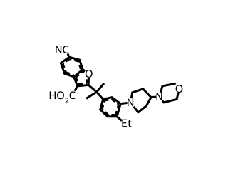 CCc1ccc(C(C)(C)c2oc3cc(C#N)ccc3c2C(=O)O)cc1N1CCC(N2CCOCC2)CC1